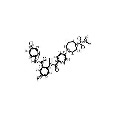 CN(C)S(=O)(=O)N1CCCN(c2ccc(C(=O)Nc3ccc(F)cc3C(=O)Nc3ccc(Cl)cn3)nc2)CC1